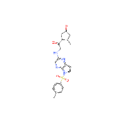 Cc1ccc(S(=O)(=O)n2ccc3nc(NCC(=O)C4CC(=O)CC4C)cnc32)cc1